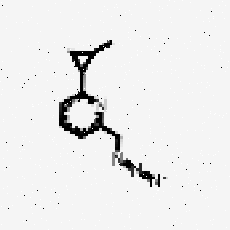 CC1CC1c1cccc(CN=[N+]=[N-])n1